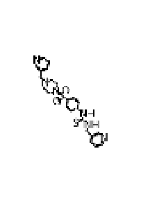 O=S(=O)(c1ccc(NC(=S)NCc2cccnc2)cc1)N1CCN(Cc2cccnc2)CC1